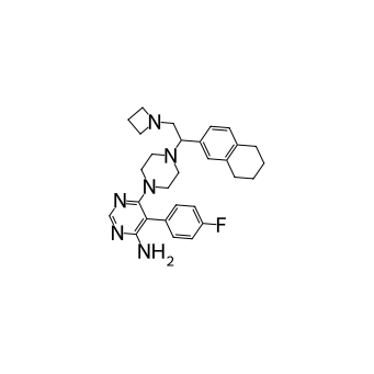 Nc1ncnc(N2CCN(C(CN3CCC3)c3ccc4c(c3)CCCC4)CC2)c1-c1ccc(F)cc1